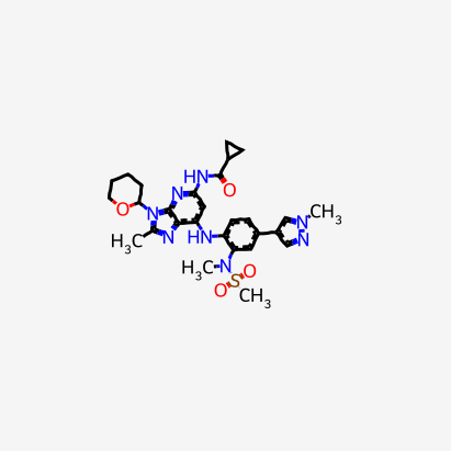 Cc1nc2c(Nc3ccc(-c4cnn(C)c4)cc3N(C)S(C)(=O)=O)cc(NC(=O)C3CC3)nc2n1C1CCCCO1